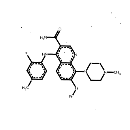 CCOc1ccc2c(Nc3ccc(C)cc3F)c(C(N)=O)cnc2c1N1CCN(C)CC1